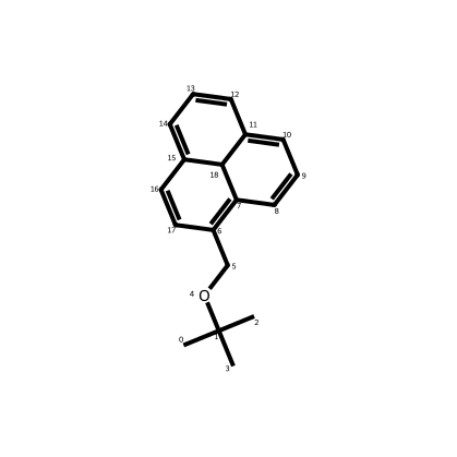 CC(C)(C)OCC1=C2C=CC=C3C=CC=C(C=C1)C32